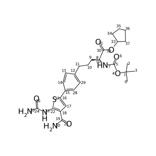 CC(C)(C)OC(=O)N[C@@H](CCCc1ccc(-c2cc(C(N)=O)c(NC(N)=O)s2)cc1)C(=O)OC1CCCC1